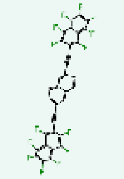 Fc1c(F)c(F)c2c(F)c(C#Cc3ccc4cc(C#Cc5c(F)c(F)c6c(F)c(F)c(F)c(F)c6c5F)ccc4c3)c(F)c(F)c2c1F